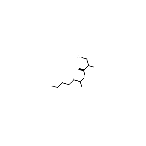 CCCCCCCCCCC(C)C(=O)NC(CCCCN)C(=O)O